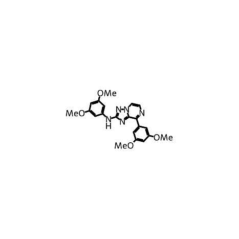 COc1cc(Nc2nc3c(-c4cc(OC)cc(OC)c4)nccn3n2)cc(OC)c1